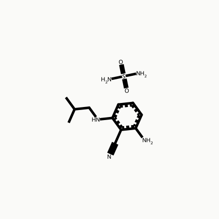 CC(C)CNc1cccc(N)c1C#N.NS(N)(=O)=O